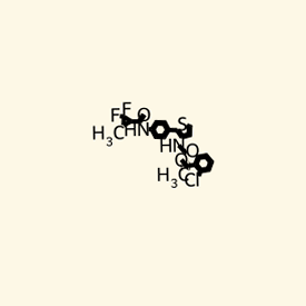 CC1C(C(=O)Nc2ccc(-c3sccc3NC(=O)O[C@H](C)c3ccccc3Cl)cc2)C1(F)F